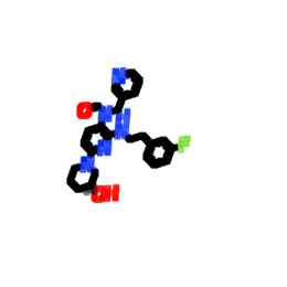 O=CN(Cc1cccnc1)c1ccc(N2CCC[C@H](O)C2)nc1NCCc1cccc(F)c1